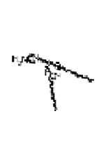 CCCCCCCCCCCC(=O)OCCN(CCCN1CCC(N)CC1)CCOC(=O)CCCCCCCCCCC